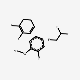 CCCOc1ccccc1F.FC1=C(F)CCC=C1.FCC(F)F